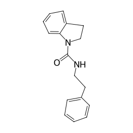 O=C(NCCc1ccccc1)N1CCc2ccccc21